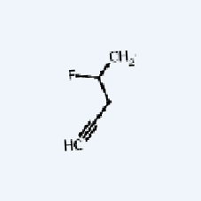 C#CCC([CH2])F